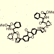 COC(=O)N[C@@H](C(=O)N1CSC[C@H]1c1ncc(-c2ccc3c(=O)c4cc(-c5cnc([C@@H]6CSCN6C(=O)[C@H](NC(=O)OC)c6ccccc6)[nH]5)ccc4oc3c2)[nH]1)c1ccccc1